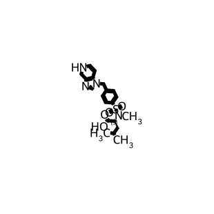 CC(C)C[C@@H](C(=O)O)N(C)S(=O)(=O)c1ccc(Cn2cnc3c2C=CNC3)cc1